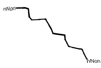 [CH2]CCCCCCCCCC[CH]CCCCCCCCCCCCC